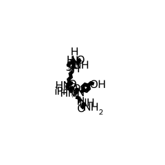 CC(C)C(NC(=O)CCCC[C@@H]1SC[C@@H]2NC(=O)N[C@@H]21)C(=O)N[C@@H](CCCNC(N)=O)C(=O)Nc1ccc(CO)cc1